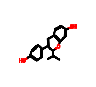 CC(C)C1Oc2cc(O)ccc2C=C1c1ccc(O)cc1